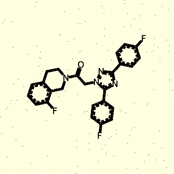 O=C(Cn1nc(-c2ccc(F)cc2)nc1-c1ccc(F)cc1)N1CCc2cccc(F)c2C1